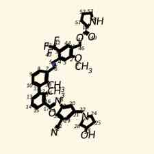 COc1cc(/C=C/c2cccc(-c3cccc(-c4nc5cc(CN6CCC(O)C6)cc(C#N)c5o4)c3C)c2C)c(C(F)(F)F)cc1COC(=O)[C@@H]1CCCN1